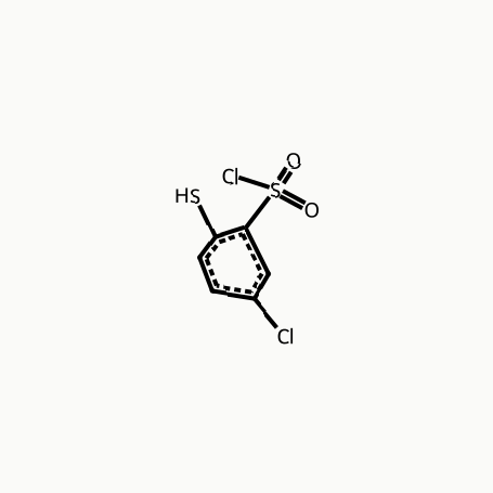 O=S(=O)(Cl)c1cc(Cl)ccc1S